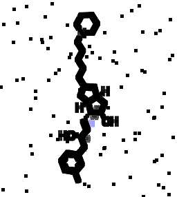 Cc1cccc(C[C@H](O)/C=C/[C@@H]2[C@H]3CC(CCCCCN4CCCCC4)=C[C@H]3C[C@H]2O)c1